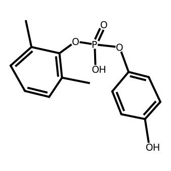 Cc1cccc(C)c1OP(=O)(O)Oc1ccc(O)cc1